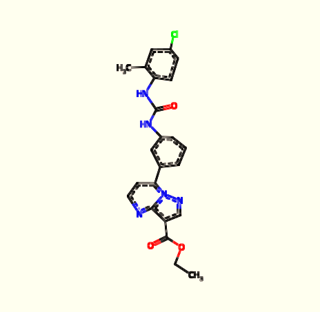 CCOC(=O)c1cnn2c(-c3cccc(NC(=O)Nc4ccc(Cl)cc4C)c3)ccnc12